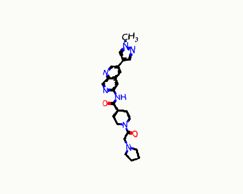 Cn1cc(-c2cnc3cnc(NC(=O)C4CCN(C(=O)CN5CCCC5)CC4)cc3c2)cn1